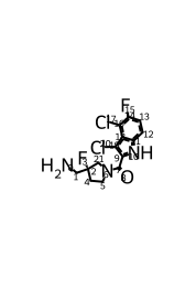 NC[C@@]1(F)CCN(C(=O)c2[nH]c3ccc(F)c(Cl)c3c2Cl)C1